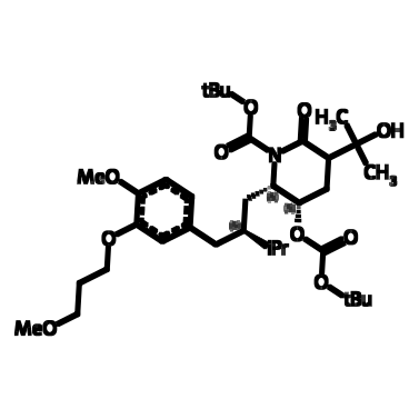 COCCCOc1cc(C[C@@H](C[C@H]2[C@@H](OC(=O)OC(C)(C)C)CC(C(C)(C)O)C(=O)N2C(=O)OC(C)(C)C)C(C)C)ccc1OC